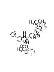 CC(C)(C)OC(=O)N=S(=O)(c1ccc(C(=O)Nc2cc(-c3cccs3)ccc2NC(=O)OC(C)(C)C)cn1)C1CC1